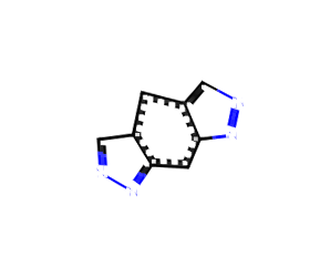 C1=NN=c2cc3c(cc21)=CN=N3